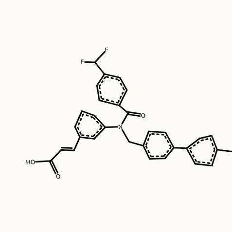 CN(C)c1ccc(-c2ccc(CN(C(=O)c3ccc(C(F)F)cc3)c3cccc(/C=C/C(=O)O)c3)cc2)cc1